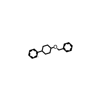 [c]1ccccc1C1CCC(OCc2ccccc2)CC1